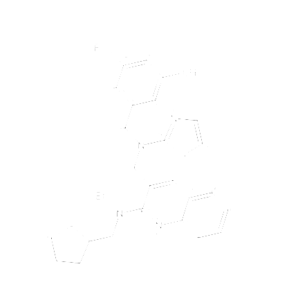 CCN(CC1CCCC1)c1nc2ccccc2cc1CN(Cc1cc(C)cc(C(F)(F)F)c1)c1ncco1